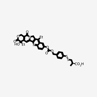 CCc1c2c(nc3ccc(OC(=O)OCc4ccc(SSC[C@H](C)C(=O)O)cc4)cc13)-c1cc3c(c(=O)n1C2)COC(=O)C3(O)CC